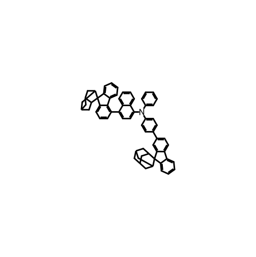 c1ccc(N(c2ccc(-c3ccc4c(c3)C3(c5ccccc5-4)C4CC5CC(C4)CC3C5)cc2)c2ccc(-c3cccc4c3-c3ccccc3C43C4CC5CC(C4)C3C5)c3ccccc23)cc1